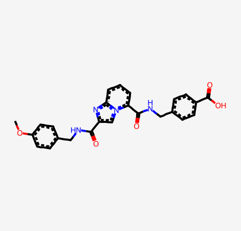 COc1ccc(CNC(=O)c2cn3c(C(=O)NCc4ccc(C(=O)O)cc4)cccc3n2)cc1